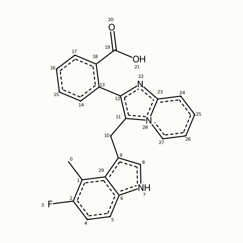 Cc1c(F)ccc2[nH]cc(Cc3c(-c4ccccc4C(=O)O)nc4ccccn34)c12